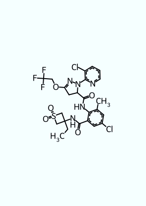 CCC1(NC(=O)c2cc(Cl)cc(C)c2NC(=O)C2CC(OCC(F)(F)F)=NN2c2ncccc2Cl)CS(=O)(=O)C1